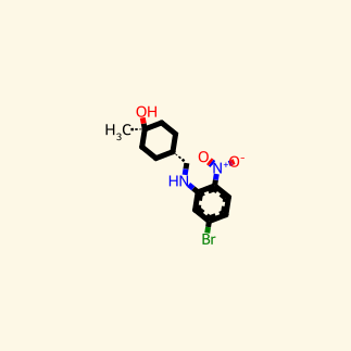 C[C@]1(O)CC[C@H](CNc2cc(Br)ccc2[N+](=O)[O-])CC1